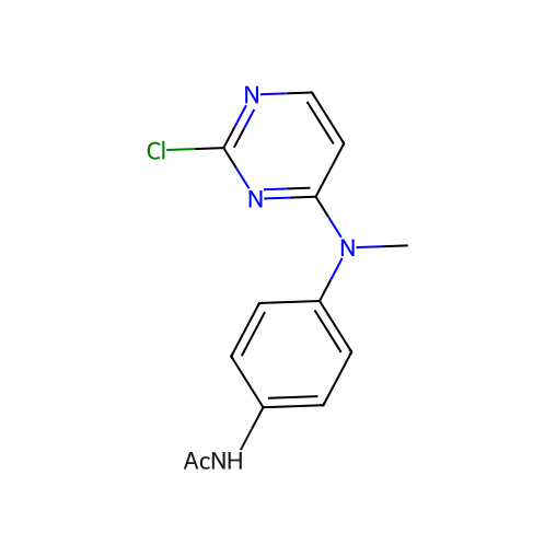 CC(=O)Nc1ccc(N(C)c2ccnc(Cl)n2)cc1